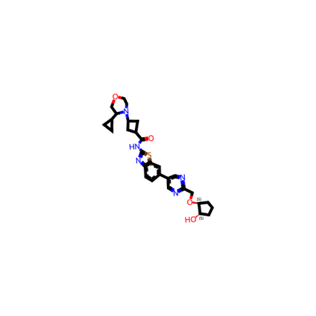 O=C(Nc1nc2ccc(-c3cnc(CO[C@H]4CCC[C@@H]4O)nc3)cc2s1)C1CC(N2CCOCC2C2CC2)C1